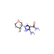 C[C@H]1CCOC[C@@H]1n1cc(C(N)=O)c(N)n1